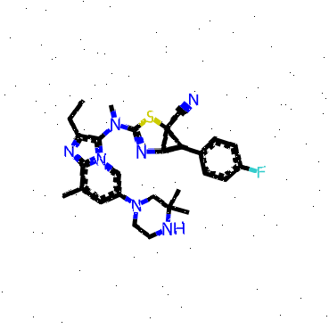 CCc1nc2c(C)cc(N3CCNC(C)(C)C3)cn2c1N(C)C1=NC2C(c3ccc(F)cc3)C2(C#N)S1